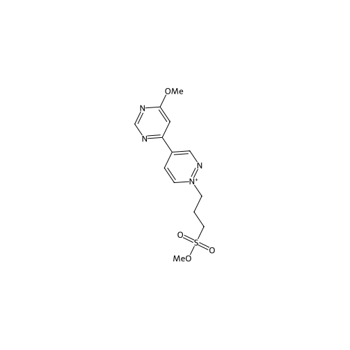 COc1cc(-c2cc[n+](CCCS(=O)(=O)OC)nc2)ncn1